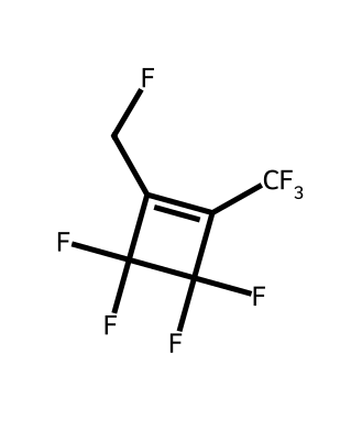 FCC1=C(C(F)(F)F)C(F)(F)C1(F)F